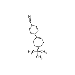 CC(C)(C)N1CCC=C(c2ccc(C#N)cc2)CC1